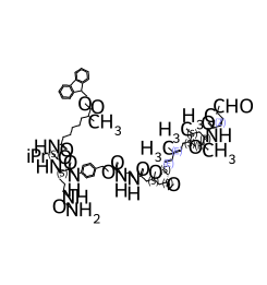 CC(/C=C/[C@@H]1C[C@]2(CO2)C[C@@H](CC(=O)NCNC(=O)OCc2ccc(NC(=O)[C@H](CCCNC(N)=O)NC(=O)[C@@H](NC(=O)CCCCCC(C)C(=O)OCC3c4ccccc4-c4ccccc43)C(C)C)cc2)O1)=C\C[C@@H]1O[C@H](C)[C@H](NC(=O)/C=C\C(C)C=O)C[C@@H]1C